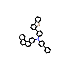 C1=Cc2c(ccc3ccc4cc(N(c5ccc(-c6ccccc6)cc5)c5cccc(-c6cccc7c6sc6ccccc67)c5)ccc4c23)CC1